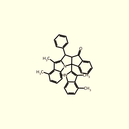 Cc1cccc2[nH]c(C34c5ccccc5C(=O)C3C(c3ccccc3)c3c(C)c5c(C)cccc5n34)c(C)c12